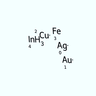 [Ag].[Au].[Cu].[Fe].[InH3]